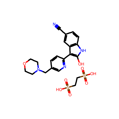 N#Cc1ccc2[nH]c(O)c(-c3ccc(CN4CCOCC4)cn3)c2c1.O=S(=O)(O)CCS(=O)(=O)O